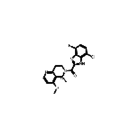 COc1ccnc2c1[C@H](C)N(C(=O)c1nc3c(F)ccc(Cl)c3[nH]1)CC2